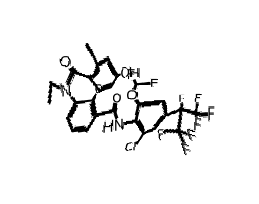 CCN(C(=O)c1ccc(O)cc1C)c1cccc(C(=O)Nc2c(Cl)cc(C(F)(C(F)(F)F)C(F)(F)F)cc2OC(F)F)c1OC